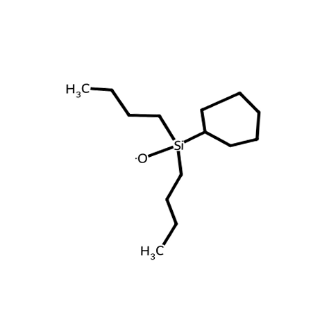 CCCC[Si]([O])(CCCC)C1CCCCC1